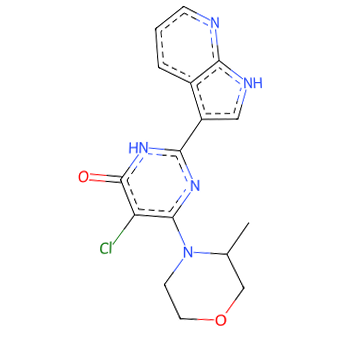 CC1COCCN1c1nc(-c2c[nH]c3ncccc23)[nH]c(=O)c1Cl